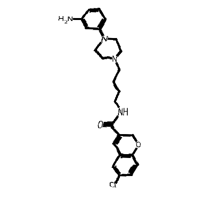 Nc1cccc(N2CCN(CCCCNC(=O)C3=Cc4cc(Cl)ccc4OC3)CC2)c1